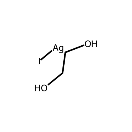 OCCO.[Ag][I]